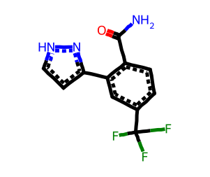 NC(=O)c1ccc(C(F)(F)F)cc1-c1cc[nH]n1